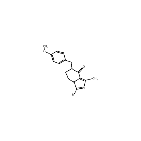 COc1ccc(CN2CCn3c(Br)nc(C)c3C2=O)cc1